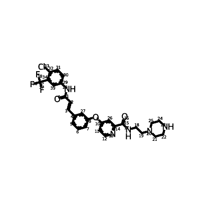 O=C(C=Cc1cccc(Oc2ccnc(C(=O)NCCN3CCNCC3)c2)c1)Nc1ccc(Cl)c(C(F)(F)F)c1